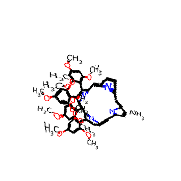 COc1cc(OC)c(C2=CC3=CC4=NC(=CC5=NC(=CC6=NC(=C(c7c(OC)cc(OC)cc7OC)C2=N3)C(c2c(OC)cc(OC)cc2OC)=C6c2c(OC)cc(OC)cc2OC)C=C5)C=C4)c(OC)c1.[AlH3]